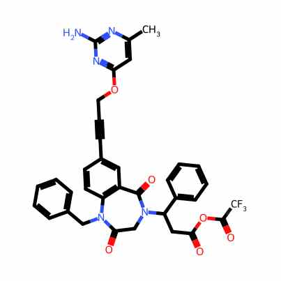 Cc1cc(OCC#Cc2ccc3c(c2)C(=O)N(C(CC(=O)OC(=O)C(F)(F)F)c2ccccc2)CC(=O)N3Cc2ccccc2)nc(N)n1